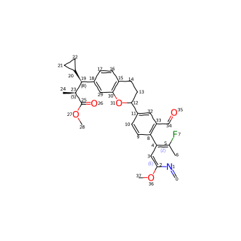 C=N/C(=C\C(=C(/C)F)c1ccc(C2CCc3ccc([C@H](C4CC4)[C@H](C)C(=O)OC)cc3O2)cc1C=O)OC